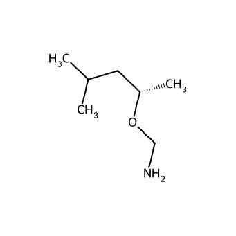 CC(C)C[C@H](C)OCN